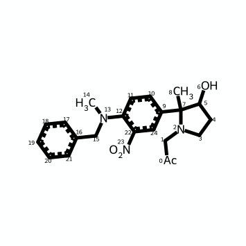 CC(=O)CN1CCC(O)C1(C)c1ccc(N(C)Cc2ccccc2)c([N+](=O)[O-])c1